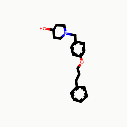 OC1CCN(Cc2ccc(OCCCc3ccccc3)cc2)CC1